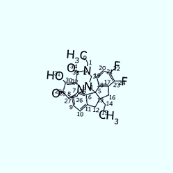 CCN1CN(C23c4ccccc4CC2(CC)Cc2c3ccc(F)c2F)n2ccc(=O)c(O)c2C1=O